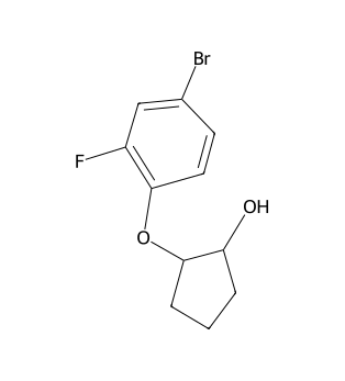 OC1CCCC1Oc1ccc(Br)cc1F